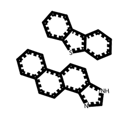 c1ccc2c(c1)ccc1c2ccc2[nH]cnc21.c1ccc2c(c1)sc1ccccc12